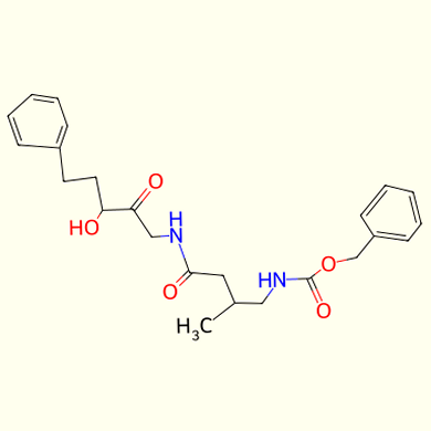 CC(CNC(=O)OCc1ccccc1)CC(=O)NCC(=O)C(O)CCc1ccccc1